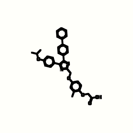 Cc1cc(OCc2nc(-c3ccc(OC(C)C)cc3)c(-c3ccc(-c4ccccc4)cc3)s2)ccc1OCC(=O)O